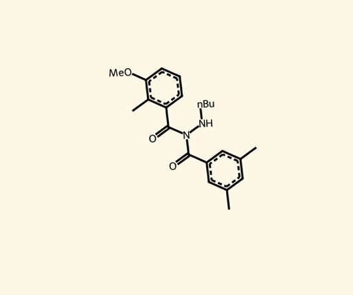 CCCCNN(C(=O)c1cc(C)cc(C)c1)C(=O)c1cccc(OC)c1C